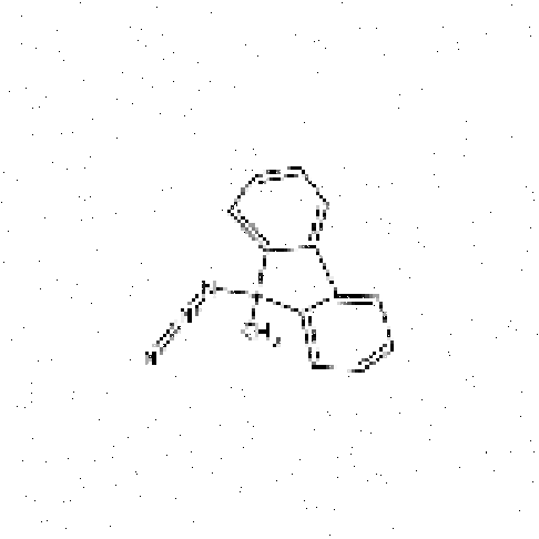 CC1(N=[N+]=[N-])c2ccccc2-c2ccccc21